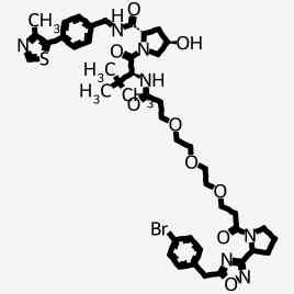 Cc1ncsc1-c1ccc(CNC(=O)[C@@H]2C[C@@H](O)CN2C(=O)[C@@H](NC(=O)CCOCCOCCOCCC(=O)N2CCCC2c2noc(Cc3ccc(Br)cc3)n2)C(C)(C)C)cc1